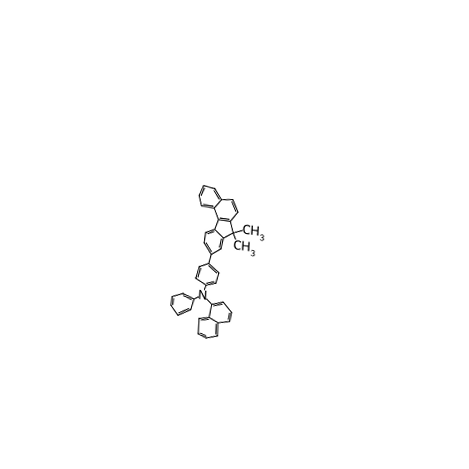 CC1(C)c2cc(-c3ccc(N(c4ccccc4)c4cccc5ccccc45)cc3)ccc2-c2c1ccc1ccccc21